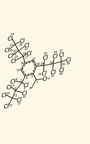 CC([O])c1c(C(Cl)(Cl)C(Cl)(Cl)C(Cl)(Cl)Cl)cc(C(Cl)(Cl)C(Cl)(Cl)C(Cl)(Cl)Cl)cc1C(Cl)(Cl)C(Cl)(Cl)C(Cl)(Cl)Cl